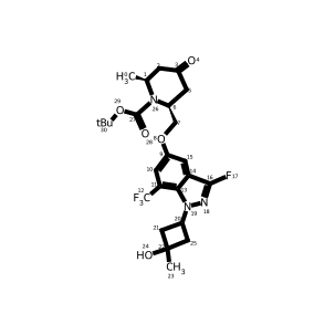 C[C@H]1CC(=O)C[C@@H](COc2cc(C(F)(F)F)c3c(c2)c(F)nn3C2CC(C)(O)C2)N1C(=O)OC(C)(C)C